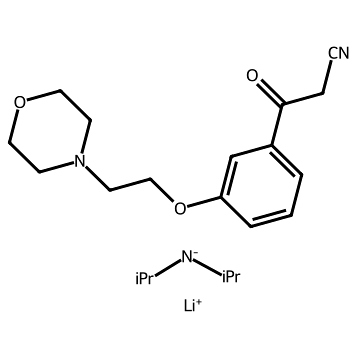 CC(C)[N-]C(C)C.N#CCC(=O)c1cccc(OCCN2CCOCC2)c1.[Li+]